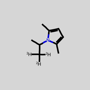 [2H]C([2H])([2H])C(C)n1c(C)ccc1C